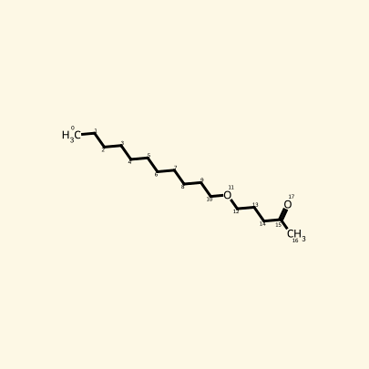 CCCCCCCCCCCOCCCC(C)=O